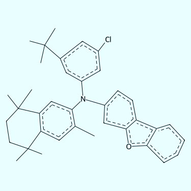 Cc1cc2c(cc1N(c1cc(Cl)cc(C(C)(C)C)c1)c1ccc3c(c1)oc1ccccc13)C(C)(C)CCC2(C)C